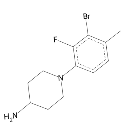 Cc1ccc(N2CCC(N)CC2)c(F)c1Br